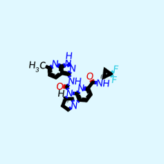 Cc1ccc2c(NC(=O)N3c4nc(C(=O)N[C@@H]5CC5(F)F)ccc4N4CC[C@H]3C4)n[nH]c2n1